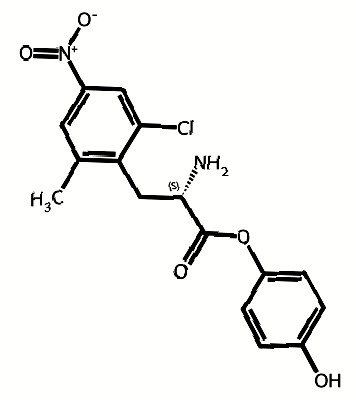 Cc1cc([N+](=O)[O-])cc(Cl)c1C[C@H](N)C(=O)Oc1ccc(O)cc1